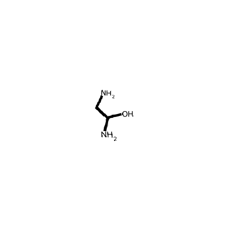 NCC(N)O